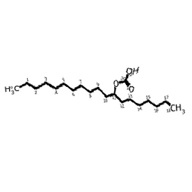 CCCCCCCCCCCC(CCCCCCC)OC(=O)O